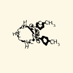 Cc1ccc(S(=O)(=O)C2CNCCCNCCCNCCCN(S(=O)(=O)c3ccc(C)cc3)C2)cc1